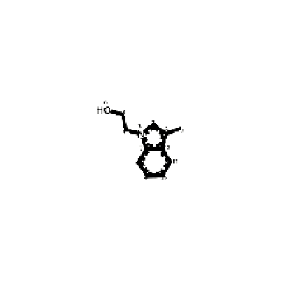 Cc1cn(CCO)c2cc[c]cc12